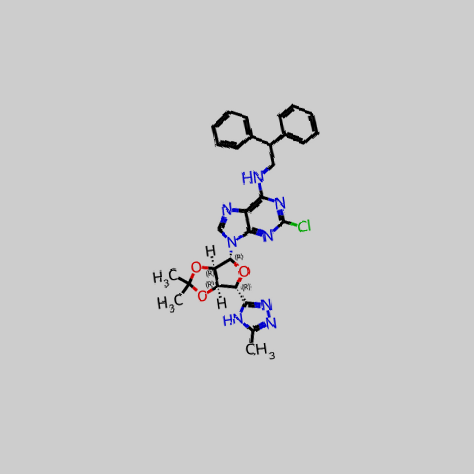 Cc1nnc([C@H]2O[C@@H](n3cnc4c(NCC(c5ccccc5)c5ccccc5)nc(Cl)nc43)[C@@H]3OC(C)(C)O[C@@H]32)[nH]1